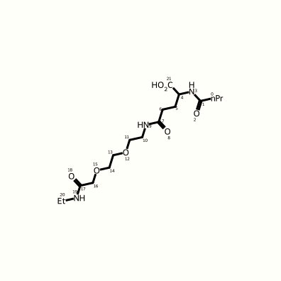 CCCC(=O)NC(CCC(=O)NCCOCCOCC(=O)NCC)C(=O)O